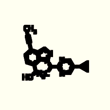 CC#Cc1ccc(C(=O)O)c2c1cnn2C(C)c1ncc(C2CC2)cn1